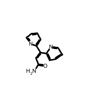 NC(=O)C=C(c1ccccn1)c1ccccn1